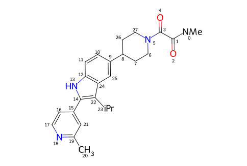 CNC(=O)C(=O)N1CCC(c2ccc3[nH]c(-c4ccnc(C)c4)c(C(C)C)c3c2)CC1